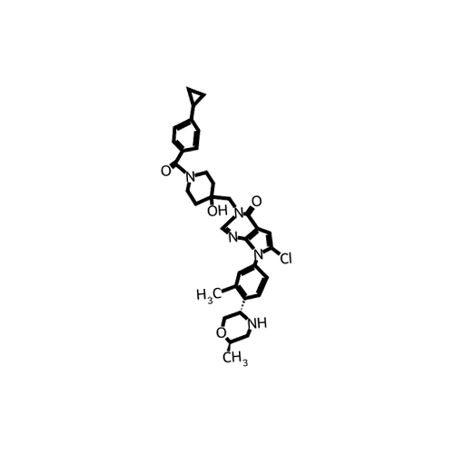 Cc1cc(-n2c(Cl)cc3c(=O)n(CC4(O)CCN(C(=O)c5ccc(C6CC6)cc5)CC4)cnc32)ccc1[C@H]1CO[C@H](C)CN1